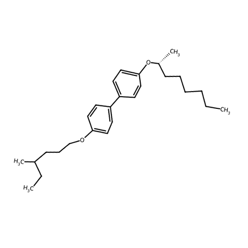 CCCCCC[C@@H](C)Oc1ccc(-c2ccc(OCCCC(C)CC)cc2)cc1